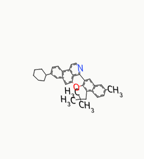 Cc1ccc2c(CC(C)(C)C)c3c(cc2c1)-c1nccc2c1c(cc1cc(C4CCCCC4)ccc12)O3